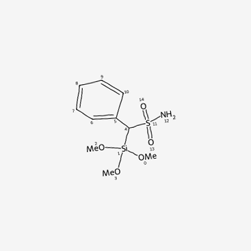 CO[Si](OC)(OC)C(c1ccccc1)S(N)(=O)=O